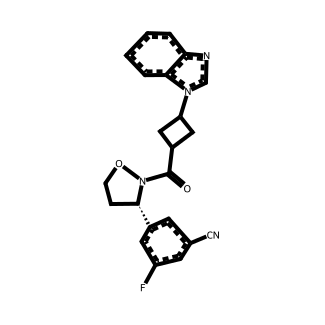 N#Cc1cc(F)cc([C@@H]2CCON2C(=O)C2CC(n3cnc4ccccc43)C2)c1